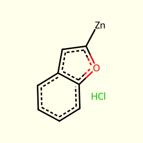 Cl.[Zn][c]1cc2ccccc2o1